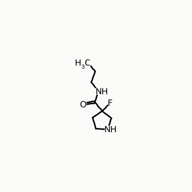 CCCNC(=O)C1(F)CCNC1